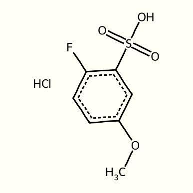 COc1ccc(F)c(S(=O)(=O)O)c1.Cl